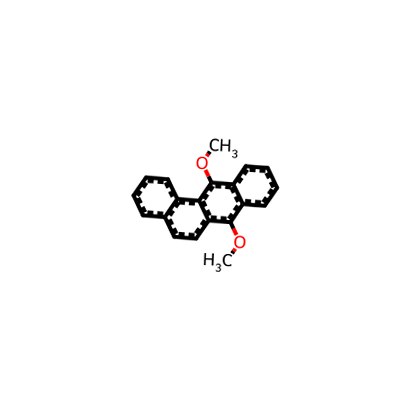 COc1c2ccccc2c(OC)c2c1ccc1ccccc12